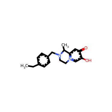 CCc1ccc(CN2CCn3cc(O)c(=O)cc3C2C)cc1